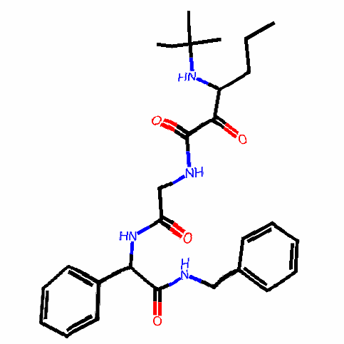 CCCC(NC(C)(C)C)C(=O)C(=O)NCC(=O)NC(C(=O)NCc1ccccc1)c1ccccc1